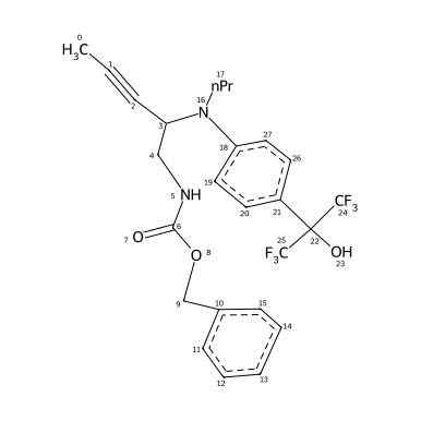 CC#CC(CNC(=O)OCc1ccccc1)N(CCC)c1ccc(C(O)(C(F)(F)F)C(F)(F)F)cc1